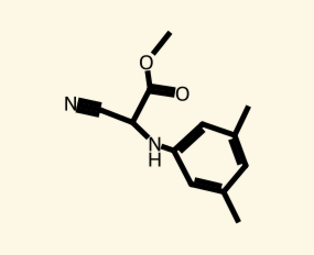 COC(=O)C(C#N)Nc1cc(C)cc(C)c1